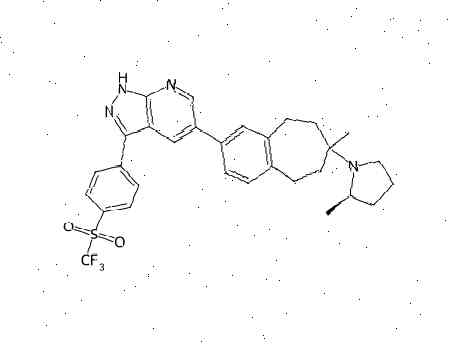 C[C@@H]1CCCN1C1(C)CCc2ccc(-c3cnc4[nH]nc(-c5ccc(S(=O)(=O)C(F)(F)F)cc5)c4c3)cc2CC1